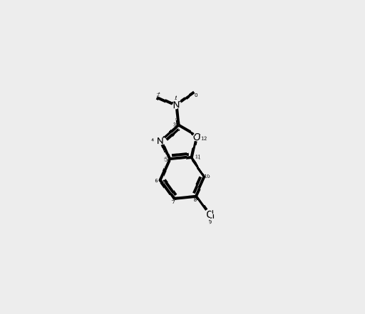 CN(C)c1nc2ccc(Cl)cc2o1